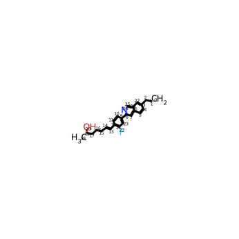 C=CCc1ccc2cc(-c3ccc(C=CCCCC(C)O)c(F)c3)ncc2c1